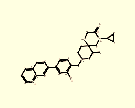 CC1CN(Cc2ccc(-c3ccc4cccnc4c3)cc2F)CCC12CN(C1CC1)C(=O)CO2